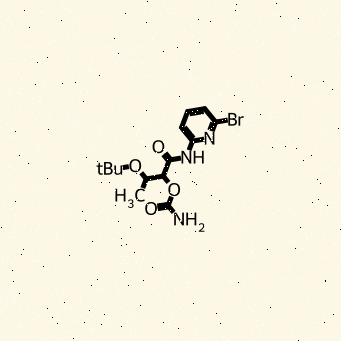 CC(OC(C)(C)C)C(OC(N)=O)C(=O)Nc1cccc(Br)n1